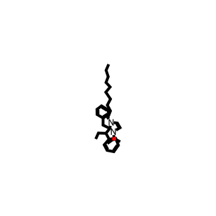 CCCCCCCCCCN1C=CN(C(C)C)C1(Cc1ccccc1)C(CC)c1ccccc1